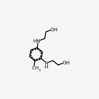 Cc1ccc(NCCO)cc1NCCO